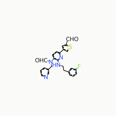 O=Cc1cc(-c2ccc(N(C=O)Cc3cccnc3)c(NCCc3cccc(F)c3)n2)cs1